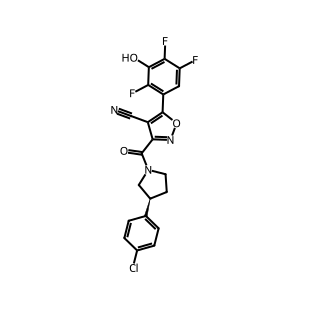 N#Cc1c(C(=O)N2CC[C@@H](c3ccc(Cl)cc3)C2)noc1-c1cc(F)c(F)c(O)c1F